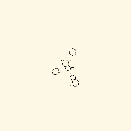 Cc1c2c(=O)n(-c3nc4c(Cl)cccc4s3)n(Cc3ccccc3)c2cc(=O)n1Cc1cccc(Cl)n1